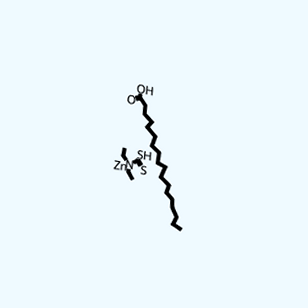 CCCCCCCCCCCCCCCCCC(=O)O.CCN(CC)C(=S)S.[Zn]